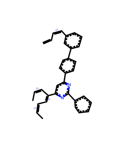 C=C/C=C\c1cccc(-c2ccc(-c3cc(C(/C=C\C)=C/C=C\C)nc(-c4ccccc4)n3)cc2)c1